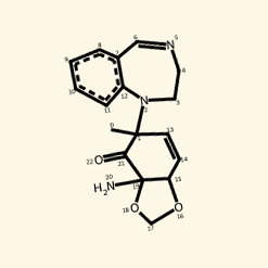 CC1(N2CCN=Cc3ccccc32)C=CC2OCOC2(N)C1=O